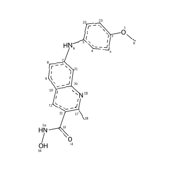 COc1ccc(Nc2ccc3cc(C(=O)NO)c(C)nc3c2)cc1